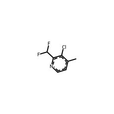 Cc1ccnc(C(F)F)c1Cl